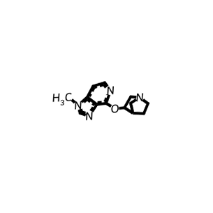 Cn1cnc2c(OC3CN4CCC3C4)nccc21